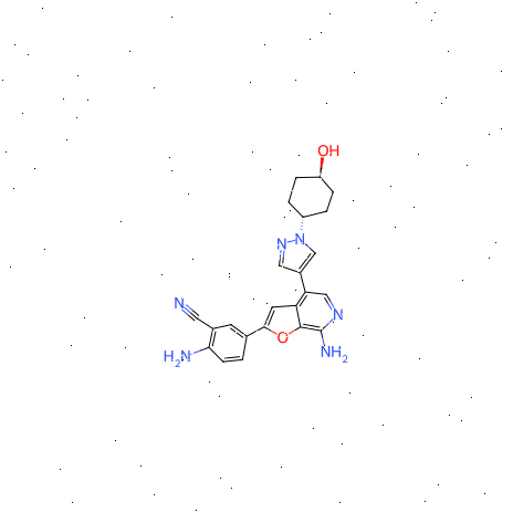 N#Cc1cc(-c2cc3c(-c4cnn([C@H]5CC[C@H](O)CC5)c4)cnc(N)c3o2)ccc1N